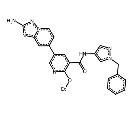 CCOc1ncc(-c2ccn3nc(N)nc3c2)cc1C(=O)Nc1cnn(Cc2ccccc2)c1